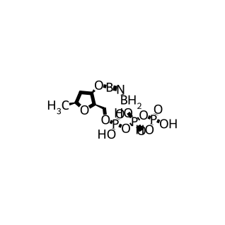 BN=BO[C@@H]1C[C@H](C)O[C@@H]1COP(=O)(O)OP(=O)(O)OP(=O)(O)O